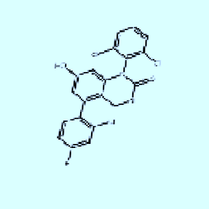 O=C1NCc2c(-c3ccc(F)cc3Cl)cc(O)cc2N1c1c(Cl)cccc1Cl